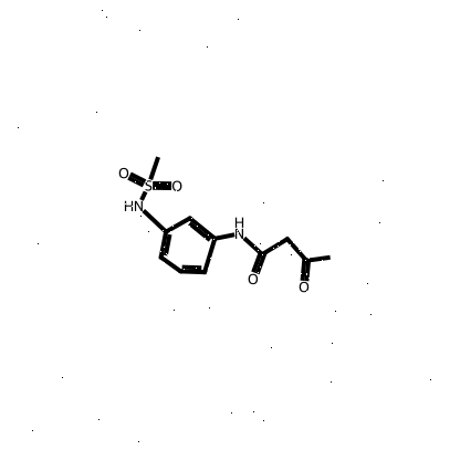 CC(=O)CC(=O)Nc1cccc(NS(C)(=O)=O)c1